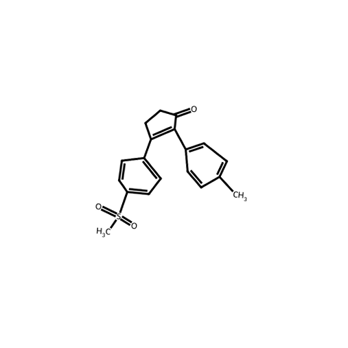 Cc1ccc(C2=C(c3ccc(S(C)(=O)=O)cc3)CCC2=O)cc1